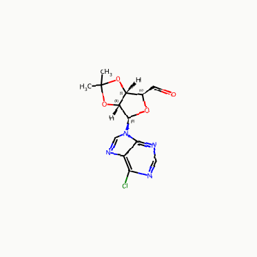 CC1(C)O[C@@H]2[C@H](O1)[C@@H](C=O)O[C@H]2n1cnc2c(Cl)ncnc21